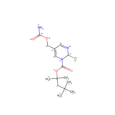 CC(C)(C)CC(C)(C)OC(=O)N1C=C(COC(N)=O)C=NC1Cl